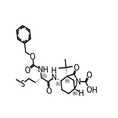 CSCC[C@H](NC(=O)OCc1ccccc1)C(=O)N[C@H]1CC[C@@H]2C[C@]1(C(C)(C)C)C(=O)N2C(=O)O